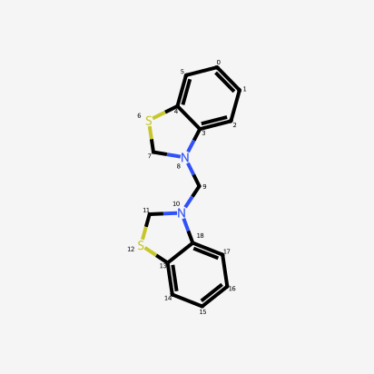 c1ccc2c(c1)SCN2CN1CSc2ccccc21